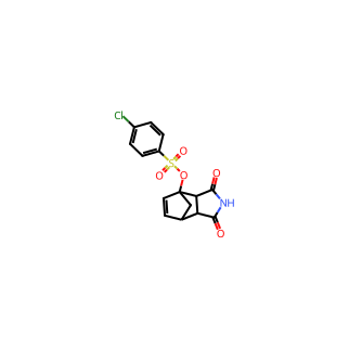 O=C1NC(=O)C2C1C1C=CC2(OS(=O)(=O)c2ccc(Cl)cc2)C1